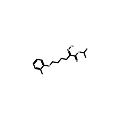 Cc1ccccc1OCCCCC(=NO)C(=O)OC(C)C